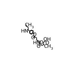 CCCC(=N)c1ccc(OC(=O)CCCNS(=O)(=O)CC(C)CC(=O)O)cc1